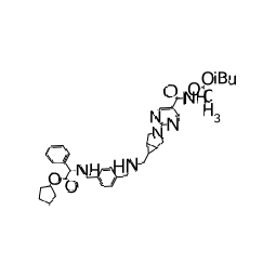 CC(C)COC(C)ONC(=O)c1cnc(N2CC3C(CNCc4ccc(CN[C@H](C(=O)OC5CCCC5)c5ccccc5)cc4)C3C2)nc1